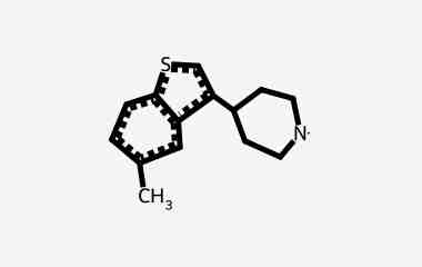 Cc1ccc2scc(C3CC[N]CC3)c2c1